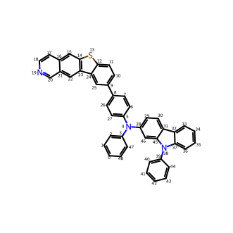 c1ccc(N(c2ccc(-c3ccc4sc5cc6ccncc6cc5c4c3)cc2)c2ccc3c4ccccc4n(-c4ccccc4)c3c2)cc1